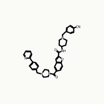 N#Cc1ccc(CN2CCC(NC(=O)c3cc4cc(C(=O)N5CCN(Cc6ccc(-c7ccccn7)cc6)CC5)ccc4o3)CC2)cc1